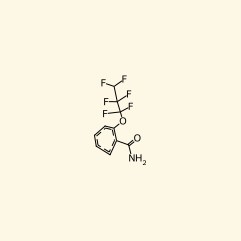 NC(=O)c1ccccc1OC(F)(F)C(F)(F)C(F)F